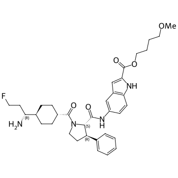 COCCCCOC(=O)c1cc2cc(NC(=O)[C@@H]3[C@@H](c4ccccc4)CCN3C(=O)[C@H]3CC[C@H]([C@H](N)CCF)CC3)ccc2[nH]1